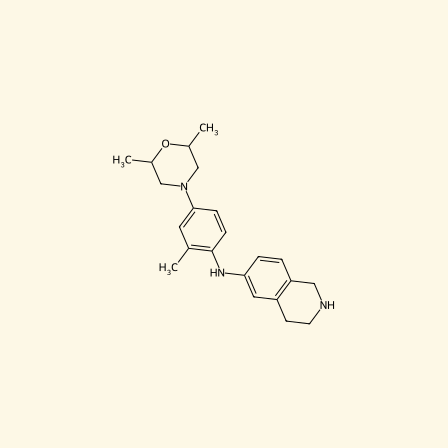 Cc1cc(N2CC(C)OC(C)C2)ccc1Nc1ccc2c(c1)CCNC2